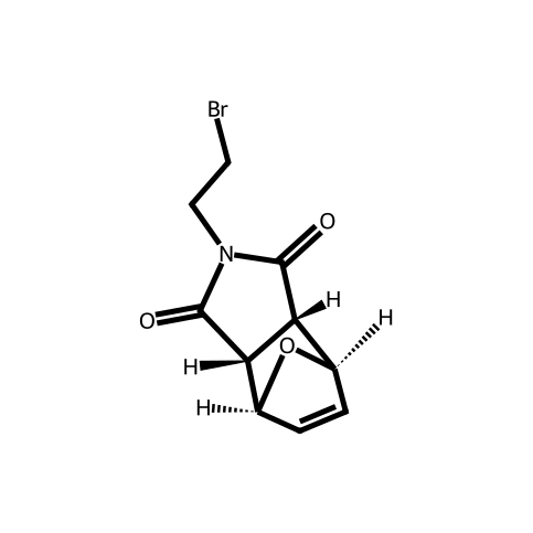 O=C1[C@@H]2[C@H](C(=O)N1CCBr)[C@H]1C=C[C@@H]2O1